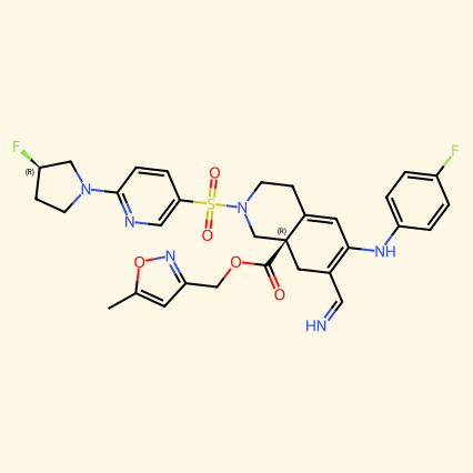 Cc1cc(COC(=O)[C@]23CC(C=N)=C(Nc4ccc(F)cc4)C=C2CCN(S(=O)(=O)c2ccc(N4CC[C@@H](F)C4)nc2)C3)no1